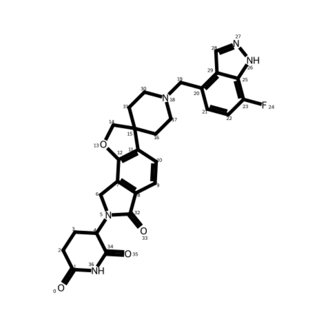 O=C1CCC(N2Cc3c(ccc4c3OCC43CCN(Cc4ccc(F)c5[nH]ncc45)CC3)C2=O)C(=O)N1